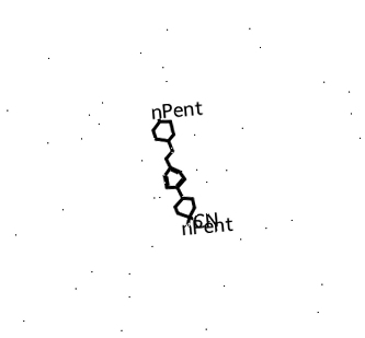 CCCCCC1CCC(CCc2ccc(C3CCC(C#N)(CCCCC)CC3)cc2)CC1